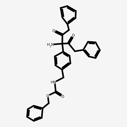 NC(C(=O)Cc1ccccc1)(C(=O)Cc1ccccc1)c1ccc(CNC(=O)OCc2ccccc2)cc1